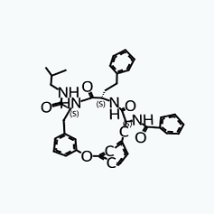 CC(C)CNC(=O)[C@@H]1Cc2cccc(c2)Oc2cccc(c2)C[C@H](NC(=O)c2ccccc2)C(=O)N[C@@H](CCc2ccccc2)C(=O)N1